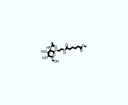 COC(=O)CCCCC(=O)NCCO[C@H]1O[C@H](CO)[C@H](O)[C@H](O)[C@H]1NC(C)=O